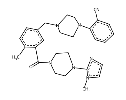 Cc1ccc(CN2CCN(c3ccccc3C#N)CC2)cc1C(=O)N1CCN(c2nccn2C)CC1